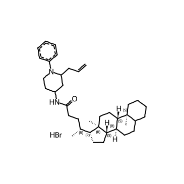 Br.C=CCC1CC(NC(=O)CC[C@@H](C)[C@H]2CC[C@H]3[C@@H]4CCC5CCCC[C@]5(C)[C@H]4CC[C@]23C)CCN1c1ccccc1